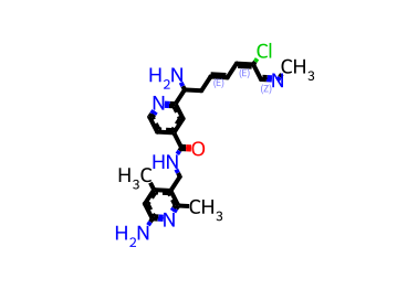 C\N=C/C(Cl)=C\C=C\CC(N)c1cc(C(=O)NCc2c(C)cc(N)nc2C)ccn1